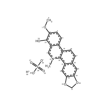 COc1ccc2c(c[n+](C)c3c4cc5c(cc4ccc23)OCO5)c1O.O=S(=O)([O-])[O-].[H+]